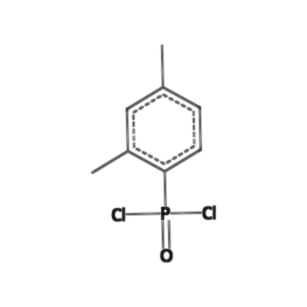 Cc1ccc(P(=O)(Cl)Cl)c(C)c1